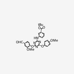 COc1ccc(Oc2nc(Nc3cccc(C(=O)OC(C)(C)C)c3)nc(Oc3ccc(C=O)cc3OC)n2)cc1